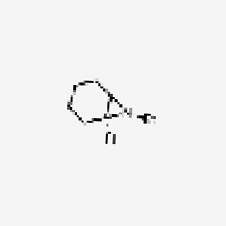 CC[N@]1C2CCCC[C@@H]21